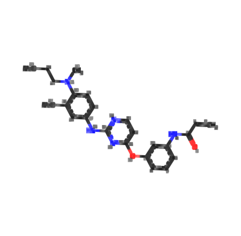 C=CC(=O)Nc1cccc(Oc2ccnc(Nc3ccc(N(C)CCOC)c(OC)c3)n2)c1